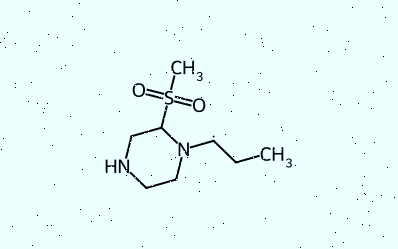 CC[CH]N1CCNCC1S(C)(=O)=O